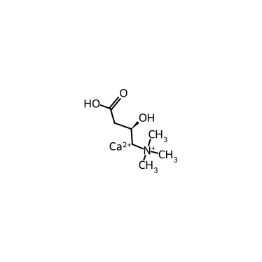 C[N+](C)(C)C[C@H](O)CC(=O)O.[Ca+2]